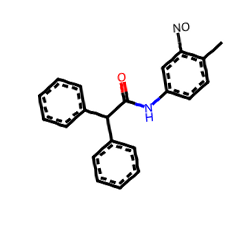 Cc1ccc(NC(=O)C(c2ccccc2)c2ccccc2)cc1N=O